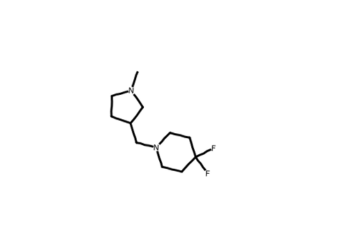 CN1CCC(CN2CCC(F)(F)CC2)C1